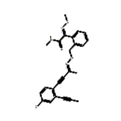 CC#Cc1cc(Cl)ccc1C#C/C(C)=N/OCc1ccccc1/C(=N\OC)C(=O)NC